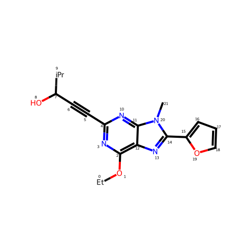 CCOc1nc(C#CC(O)C(C)C)nc2c1nc(-c1ccco1)n2C